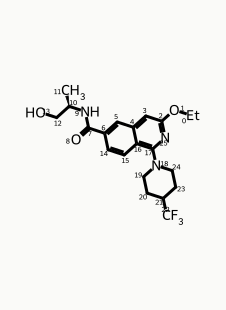 CCOc1cc2cc(C(=O)N[C@H](C)CO)ccc2c(N2CCC(C(F)(F)F)CC2)n1